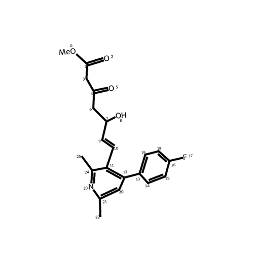 COC(=O)CC(=O)CC(O)/C=C/c1c(-c2ccc(F)cc2)cc(C)nc1C